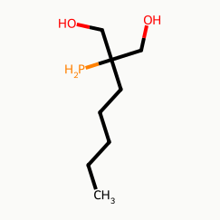 CCCCCC(P)(CO)CO